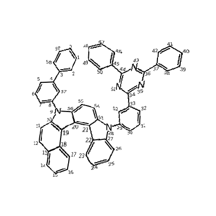 c1ccc(-c2cccc(-n3c4ccc5ccccc5c4c4c5c6ccccc6n(-c6cccc(-c7nc(-c8ccccc8)nc(-c8ccccc8)n7)c6)c5ccc43)c2)cc1